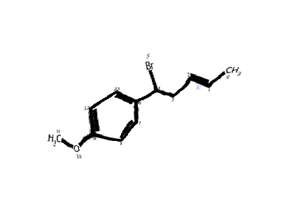 C/C=C/CC(Br)c1ccc(OC)cc1